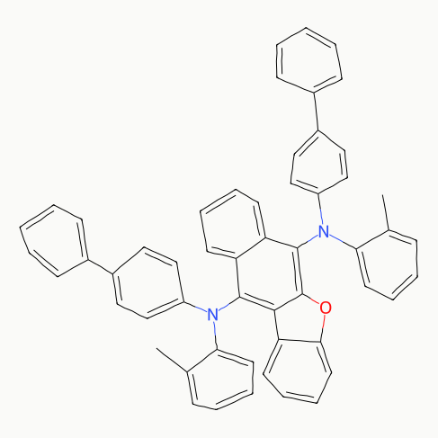 Cc1ccccc1N(c1ccc(-c2ccccc2)cc1)c1c2ccccc2c(N(c2ccc(-c3ccccc3)cc2)c2ccccc2C)c2c1oc1ccccc12